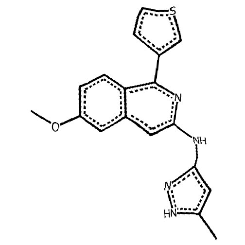 COc1ccc2c(-c3ccsc3)nc(Nc3cc(C)[nH]n3)cc2c1